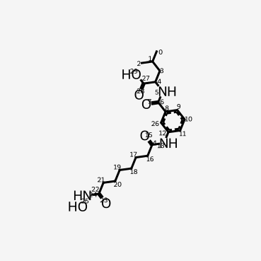 CC(C)CC(NC(=O)c1cccc(NC(=O)CCCCCCC(=O)NO)c1)C(=O)O